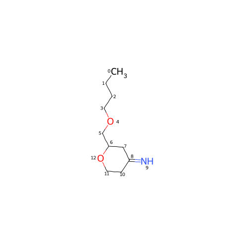 CCCCOCC1CC(=N)CCO1